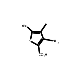 Cc1c(C(C)(C)C)sc(C(=O)O)c1N